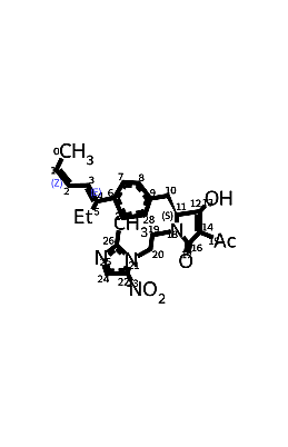 C/C=C\C=C(/CC)c1ccc(C[C@H]2C(O)=C(C(C)=O)C(=O)N2CCn2c([N+](=O)[O-])cnc2C)cc1